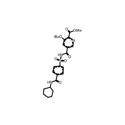 COC(=O)c1ncc(C(=O)NS(=O)(=O)c2ccc(C(=O)NC3CCCCC3)cc2)cc1OCC(C)C